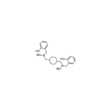 CC(C)(C)N(Cc1ccccc1O)CC1CCC(CN(Cc2ccccc2O)C(C)(C)C)CC1